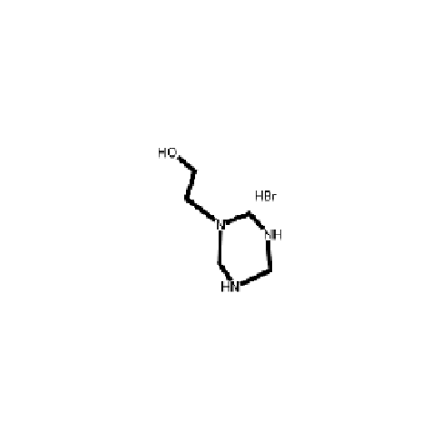 Br.OCCN1CNCNC1